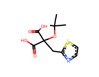 CC(C)(C)OC(Cc1nccs1)(C(=O)O)C(=O)O